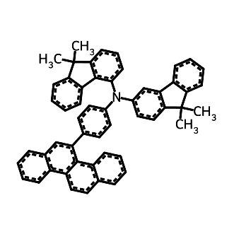 CC1(C)c2ccccc2-c2cc(N(c3ccc(-c4cc5ccccc5c5ccc6ccccc6c45)cc3)c3cccc4c3-c3ccccc3C4(C)C)ccc21